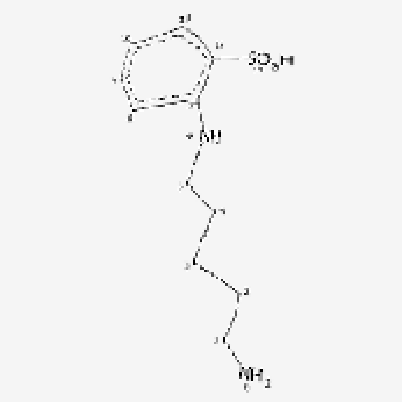 NCCCCCNc1ccccc1S(=O)(=O)O